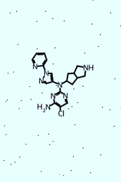 Nc1nc(N(c2cnn(-c3ccccn3)c2)C2CC3CNCC3C2)ncc1Cl